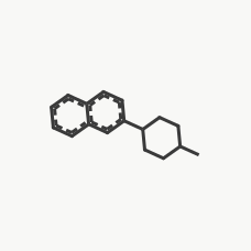 CC1CCC(c2ccc3ccccc3c2)CC1